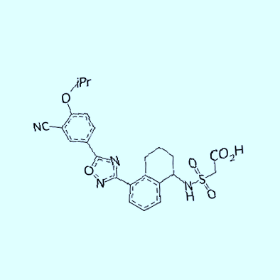 CC(C)Oc1ccc(-c2nc(-c3cccc4c3CCCC4NS(=O)(=O)CC(=O)O)no2)cc1C#N